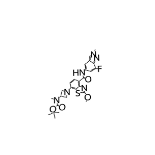 COc1nc2c(C(=O)Nc3cc(F)c4nn(C)cc4c3)ccc(N3CC(N(C)C(=O)OC(C)(C)C)C3)c2s1